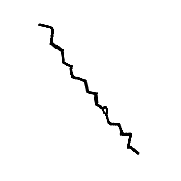 CCCCCCCCCC=COCCCCCC